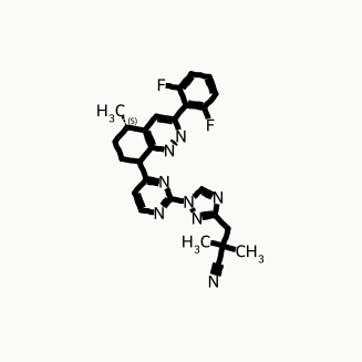 C[C@H]1CCC(c2ccnc(-n3cnc(CC(C)(C)C#N)n3)n2)c2nnc(-c3c(F)cccc3F)cc21